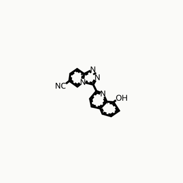 N#Cc1ccc2nnc(-c3ccc4cccc(O)c4n3)n2c1